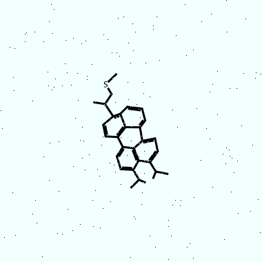 CSCC(C)c1ccc2c3ccc(C(C)C)c4c(C(C)C)ccc(c5cccc1c52)c43